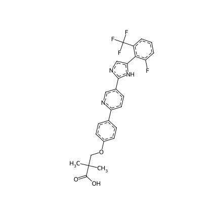 CC(C)(COc1ccc(-c2ccc(-c3ncc(-c4c(F)cccc4C(F)(F)F)[nH]3)cn2)cc1)C(=O)O